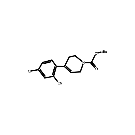 CC(C)(C)OC(=O)N1CC=C(c2ccc(Cl)cc2C#N)CC1